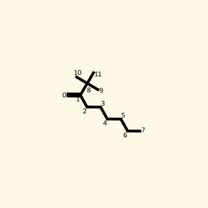 C=C(CCCCCC)C(C)(C)C